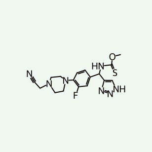 COC(=S)NC(c1ccc(N2CCN(CC#N)CC2)c(F)c1)c1c[nH]nn1